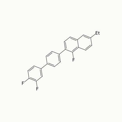 CCc1ccc2c(F)c(-c3ccc(-c4ccc(F)c(F)c4)cc3)ccc2c1